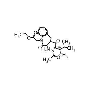 CCOC(=O)CN1C(=O)C(N)C(C(=O)[C@@H](SC(C)=O)[C@@H](C)C(C)C)Cc2ccccc21